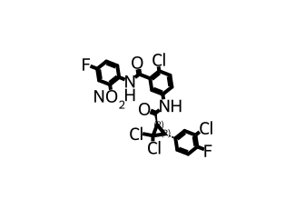 O=C(Nc1ccc(F)cc1[N+](=O)[O-])c1cc(NC(=O)[C@H]2[C@H](c3ccc(F)c(Cl)c3)C2(Cl)Cl)ccc1Cl